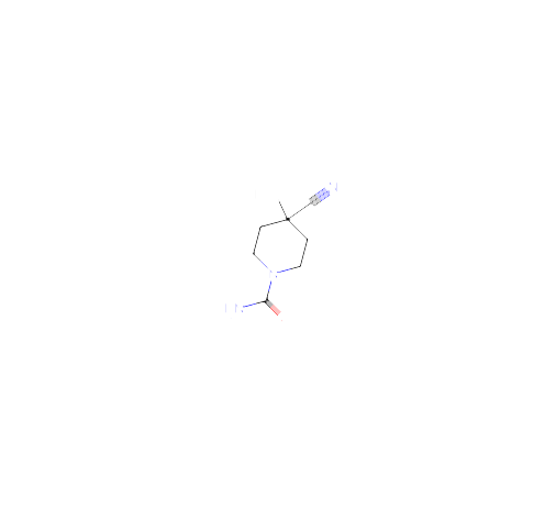 CC1(C#N)CCN(C(N)=O)CC1